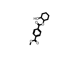 COC(=O)c1ccc(C(=O)OC2CCCCC2O)cc1